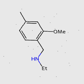 CCNCc1ccc(C)cc1OC